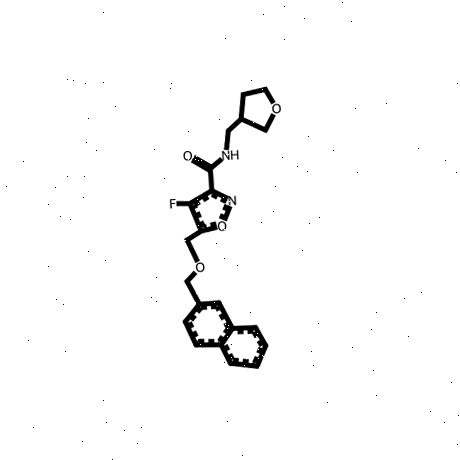 O=C(NCC1CCOC1)c1noc(COCc2ccc3ccccc3c2)c1F